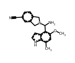 COc1cc(C)c2[nH]ccc2c1C(N)N1Cc2ccc(C#N)cc2C1